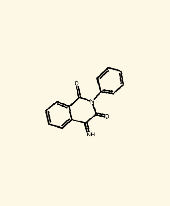 N=C1C(=O)N(c2ccccc2)C(=O)c2ccccc21